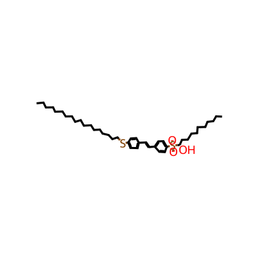 CCCCCCCCCCCCCCCCCCSc1ccc(C=Cc2ccc(S(=O)(=O)C(O)CCCCCCCCCC)cc2)cc1